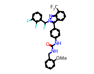 COc1ccccc1CNC(=O)Nc1ccc(-c2c3cccc(C(F)(F)F)c3nn2C(F)c2cccc(F)c2F)cc1